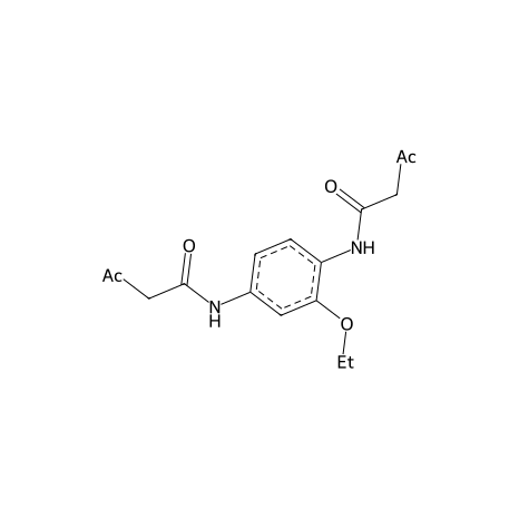 CCOc1cc(NC(=O)CC(C)=O)ccc1NC(=O)CC(C)=O